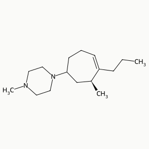 CCCC1=CCCC(N2CCN(C)CC2)C[C@@H]1C